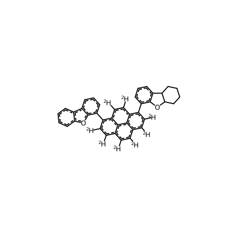 [2H]c1c([2H])c2c([2H])c([2H])c3c([2H])c([2H])c(-c4cccc5c4oc4ccccc45)c4c([2H])c([2H])c(c1-c1cccc5c1OC1CCCCC51)c2c34